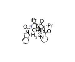 C/C(=C\[C@H](C(C)C)N(C)C(=O)[C@@H](NC(=O)C1CCCCN1C)C(C)C)C(=O)N1Cc2ccccc2C1